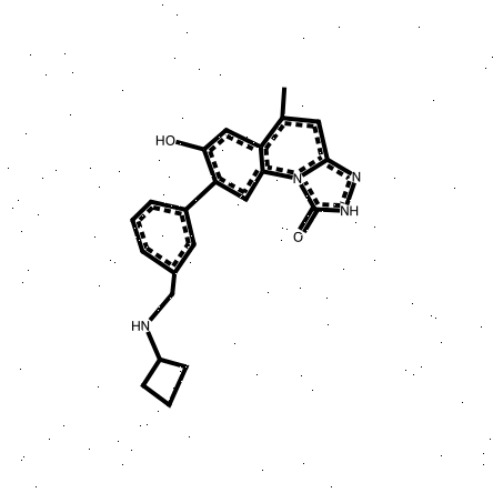 Cc1cc2n[nH]c(=O)n2c2cc(-c3cccc(CNC4CCC4)c3)c(O)cc12